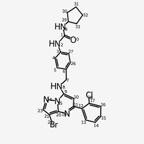 O=C(Nc1ccc(CNc2cc(-c3ccccc3Cl)nc3c(Br)cnn23)cc1)NC1CCCC1